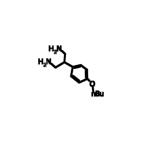 CCCCOc1ccc(C(CN)CN)cc1